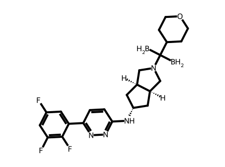 BC(B)(C1CCOCC1)N1C[C@H]2C[C@H](Nc3ccc(-c4cc(F)cc(F)c4F)nn3)C[C@H]2C1